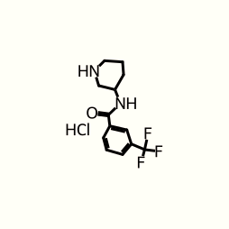 Cl.O=C(NC1CCCNC1)c1cccc(C(F)(F)F)c1